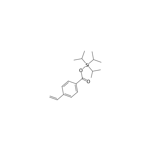 C=Cc1ccc(C(=O)O[Si](C(C)C)(C(C)C)C(C)C)cc1